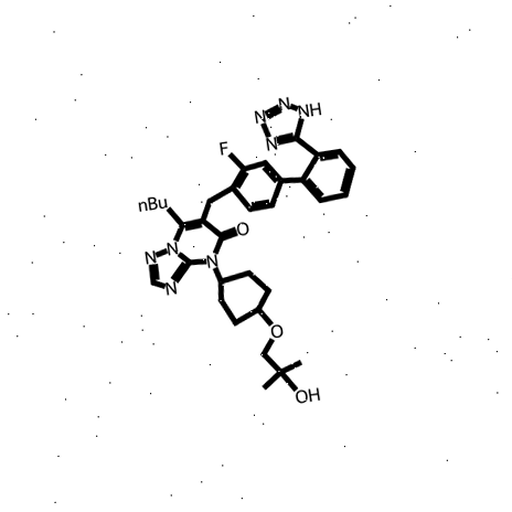 CCCCc1c(Cc2ccc(-c3ccccc3-c3nnn[nH]3)cc2F)c(=O)n(C2CCC(OCC(C)(C)O)CC2)c2ncnn12